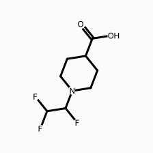 O=C(O)C1CCN(C(F)C(F)F)CC1